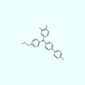 CCCc1ccc(N(c2ccc(-c3ccc(C)cc3)cc2)c2ccc(C)c(C)c2)cc1